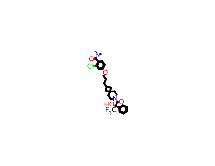 CN(C)C(=O)c1ccc(OCCCC2CC3(CCN(C(=O)C(O)(c4ccccc4)C(F)(F)F)CC3)C2)cc1Cl